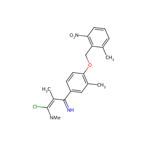 CN/C(Cl)=C(/C)C(=N)c1ccc(OCc2c(C)cccc2[N+](=O)[O-])c(C)c1